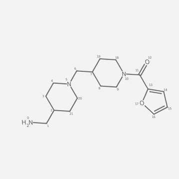 NCC1CCN(CC2CCN(C(=O)c3ccco3)CC2)CC1